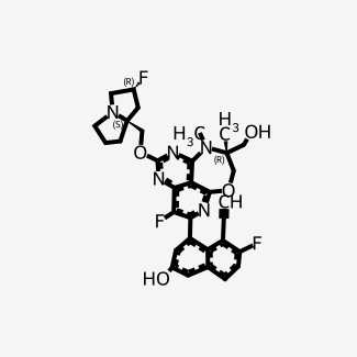 C#Cc1c(F)ccc2cc(O)cc(-c3nc4c5c(nc(OC[C@@]67CCCN6C[C@H](F)C7)nc5c3F)N(C)[C@](C)(CO)CO4)c12